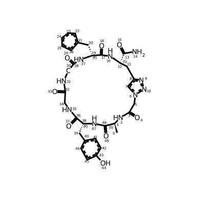 C[C@@H]1NC(=O)Cn2cc(nn2)C[C@@H](C(N)=O)NC(=O)[C@@H](Cc2ccccc2)NC(=O)CNC(=O)CNC(=O)[C@@H](Cc2ccc(O)cc2)NC1=O